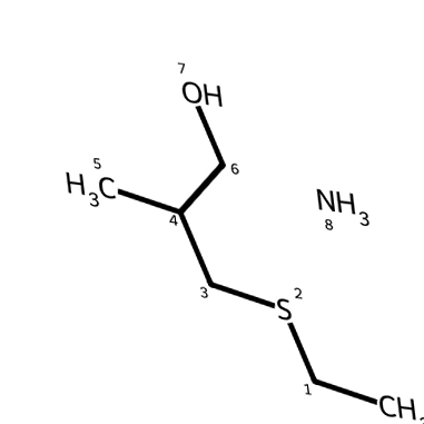 CCSCC(C)CO.N